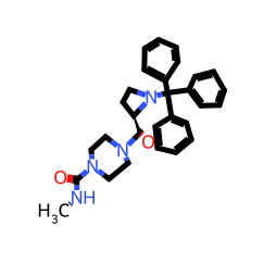 CNC(=O)N1CCN(C(=O)[C@H]2CCN2C(c2ccccc2)(c2ccccc2)c2ccccc2)CC1